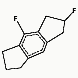 Fc1c2c(cc3c1CC(F)C3)CCC2